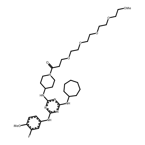 COCCOCCOCCOCCOCCC(=O)N1CCC(Nc2nc(Nc3ccc(OC)c(F)c3)nc(NC3CCCCCC3)n2)CC1